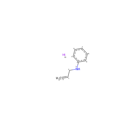 C=CCNc1ccccc1.I